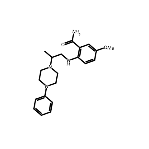 COc1ccc(NCC(C)N2CCN(c3ccccc3)CC2)c(C(N)=O)c1